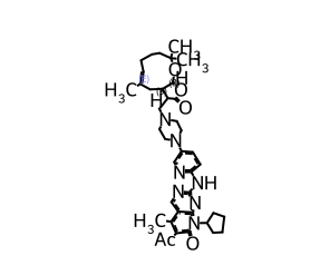 CC(=O)c1c(C)c2cnc(Nc3ccc(N4CCN(CC5C(=O)O[C@@H]6OC(C)(C)CCC/C=C(\C)C[C@@H]56)CC4)cn3)nc2n(C2CCCC2)c1=O